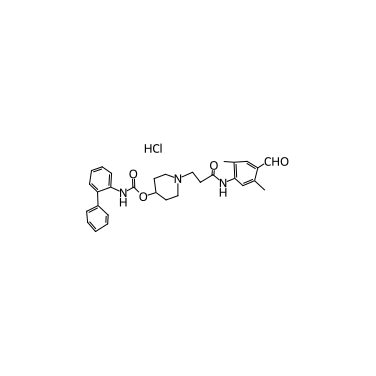 Cc1cc(NC(=O)CCN2CCC(OC(=O)Nc3ccccc3-c3ccccc3)CC2)c(C)cc1C=O.Cl